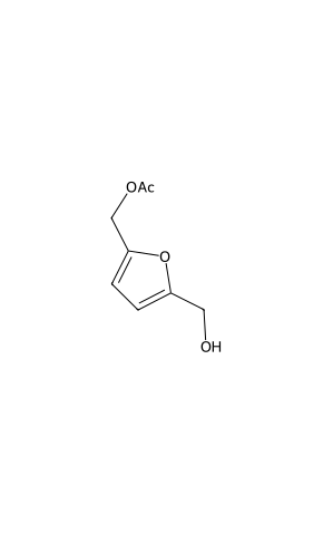 CC(=O)OCc1ccc(CO)o1